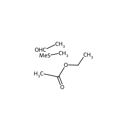 CC=O.CCOC(C)=O.CSC